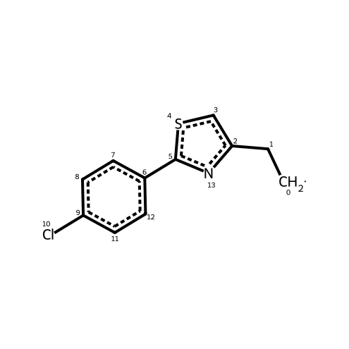 [CH2]Cc1csc(-c2ccc(Cl)cc2)n1